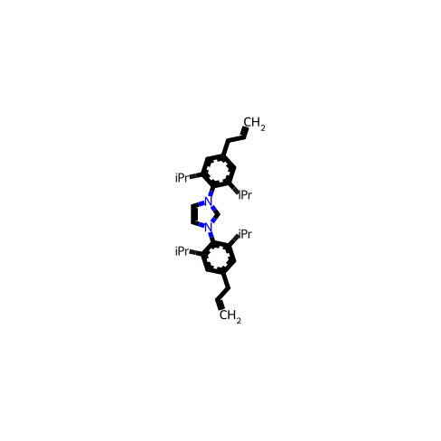 C=CCc1cc(C(C)C)c(N2C=CN(c3c(C(C)C)cc(CC=C)cc3C(C)C)C2)c(C(C)C)c1